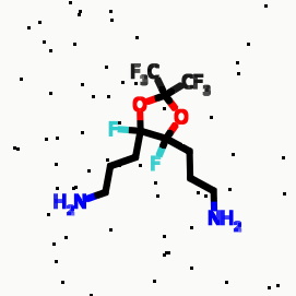 NCCCC1(F)OC(C(F)(F)F)(C(F)(F)F)OC1(F)CCCN